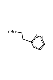 CCCCCCc1[c]nccc1